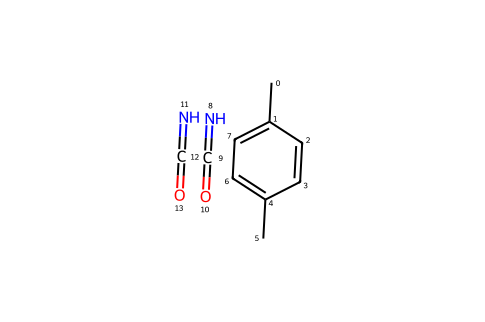 Cc1ccc(C)cc1.N=C=O.N=C=O